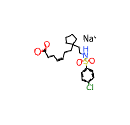 O=C([O-])CC/C=C\CCC1(CCNS(=O)(=O)c2ccc(Cl)cc2)CCCC1.[Na+]